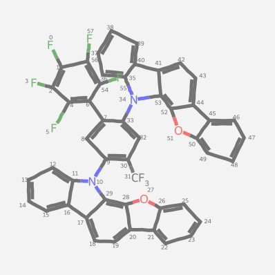 Fc1c(F)c(F)c(-c2cc(-n3c4ccccc4c4ccc5c6ccccc6oc5c43)c(C(F)(F)F)cc2-n2c3ccccc3c3ccc4c5ccccc5oc4c32)c(F)c1F